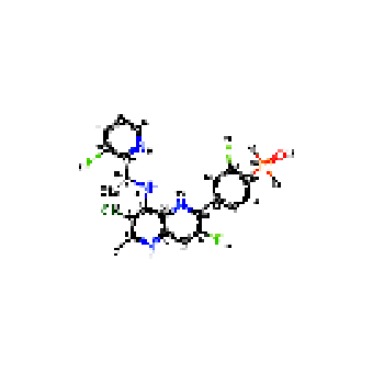 CC[C@@H](Nc1c(Cl)c(C)nc2cc(F)c(-c3ccc(P(C)(C)=O)c(F)c3)nc12)c1ncccc1F